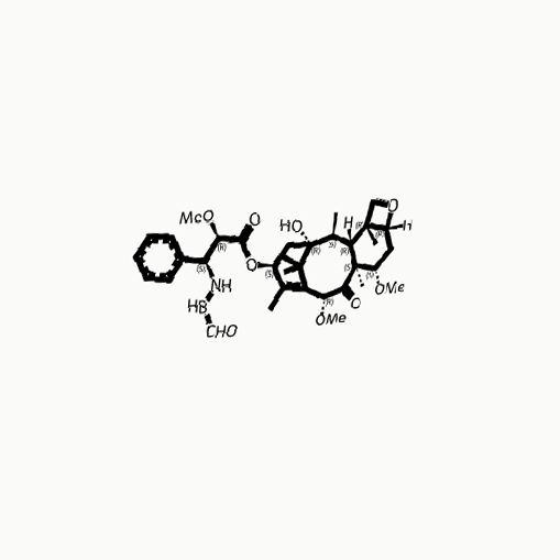 CO[C@H]1C(=O)[C@]2(C)[C@@H](OC)C[C@H]3OC[C@@]3(C)[C@H]2[C@H](C)[C@]2(O)C[C@H](OC(=O)[C@H](OC)[C@@H](NBC=O)c3ccccc3)C(C)=C1C2(C)C